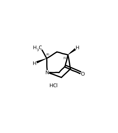 C[C@@H]1C[C@@H]2CCN1CC2=O.Cl